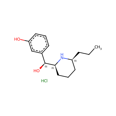 CCC[C@H]1CCC[C@@H]([C@@H](O)c2cccc(O)c2)N1.Cl